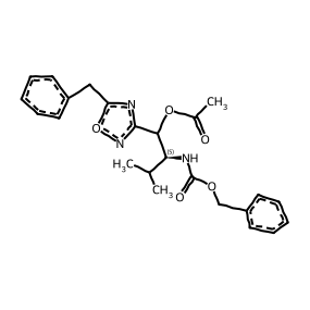 CC(=O)OC(c1noc(Cc2ccccc2)n1)[C@@H](NC(=O)OCc1ccccc1)C(C)C